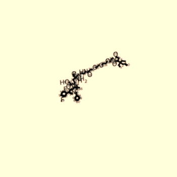 C=CCC(CC)(CC)C1CC(=O)N(CCOCCOCCOCCC(=O)NCCNC[C@](N)(C=O)CCN(C(=O)CO)[C@@H](c2cc(-c3cc(F)ccc3F)cn2Cc2ccccc2)C(C)(C)C)C1=O